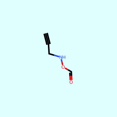 C#CCNOC=O